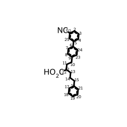 N#Cc1cccc(-c2ccc(CCC(CCCc3ccccc3)C(=O)O)cc2)c1